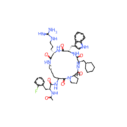 CC(=O)N[C@@H](Cc1ccccc1F)C(=O)NC1CCCNC(=O)[C@H](CCCNC(=N)N)NC(=O)[C@H](Cc2c[nH]c3ccccc23)NC(=O)[C@@H](CC2CCCCC2)NC(=O)[C@@H]2CCCN2C1=O